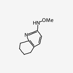 CONc1ccc2c(n1)CCCC2